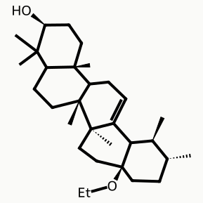 CCO[C@]12CC[C@@H](C)[C@H](C)C1C1=CCC3[C@@]4(C)CC[C@H](O)C(C)(C)C4CC[C@@]3(C)[C@]1(C)CC2